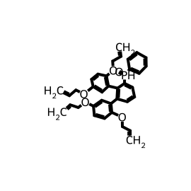 C=CCOc1ccc(OCC=C)c(-c2cccc([PH](=O)c3ccccc3)c2-c2cc(OCC=C)ccc2OCC=C)c1